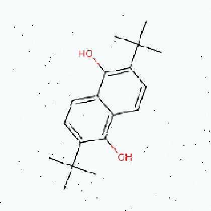 CC(C)(C)c1ccc2c(O)c(C(C)(C)C)ccc2c1O